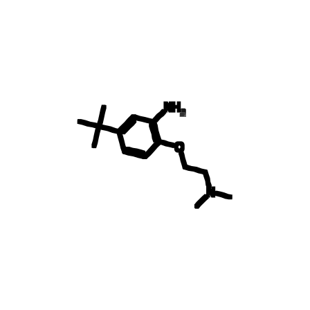 CN(C)CCOc1ccc(C(C)(C)C)cc1N